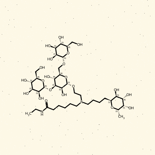 CCNC(=O)CCCCCN(CCCC[C@@H]1O[C@@H](C)[C@@H](O)[C@@H](O)[C@@H]1O)CCO[C@H]1O[C@H](CO[C@H]2O[C@H](CO)[C@@H](O)[C@H](O)[C@@H]2O)[C@@H](O)[C@H](O[C@H]2O[C@H](CO)[C@@H](O)[C@H](O)[C@@H]2O)[C@@H]1O